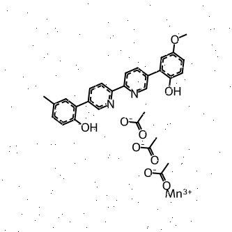 CC(=O)[O-].CC(=O)[O-].CC(=O)[O-].COc1ccc(O)c(-c2ccc(-c3ccc(-c4cc(C)ccc4O)cn3)nc2)c1.[Mn+3]